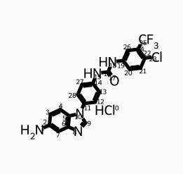 Cl.Nc1ccc2c(c1)ncn2-c1ccc(NC(=O)Nc2ccc(Cl)c(C(F)(F)F)c2)cc1